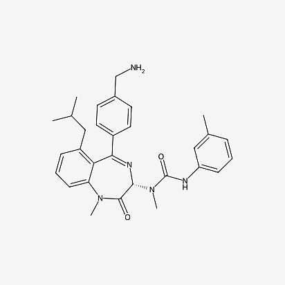 Cc1cccc(NC(=O)N(C)[C@H]2N=C(c3ccc(CN)cc3)c3c(CC(C)C)cccc3N(C)C2=O)c1